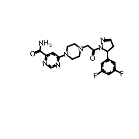 NC(=O)c1cc(N2CCN(CC(=O)N3N=CC[C@H]3c3cc(F)cc(F)c3)CC2)ncn1